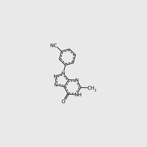 Cc1nc2c(nnn2-c2cccc(C#N)c2)c(=O)[nH]1